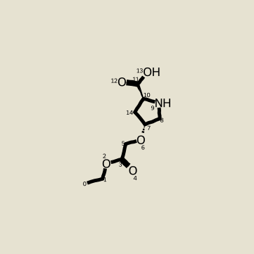 CCOC(=O)CO[C@H]1CN[C@H](C(=O)O)C1